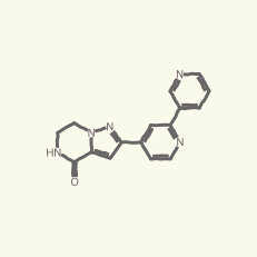 O=C1NCCn2nc(-c3ccnc(-c4cccnc4)c3)cc21